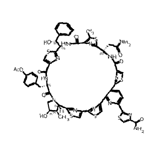 CC(=O)Oc1ccc(C[C@@H]2NC(=O)c3csc(n3)[C@H]([C@H](O)c3ccccc3)NC(=O)c3nc(sc3C)[C@H](CC(N)=O)NC(=O)c3csc(n3)-c3ccc(-c4nc(C(N)=O)cs4)nc3-c3csc(n3)-c3csc(n3)[C@@H]3[C@@H](C)[C@@H](O)CN3C2=O)cc1